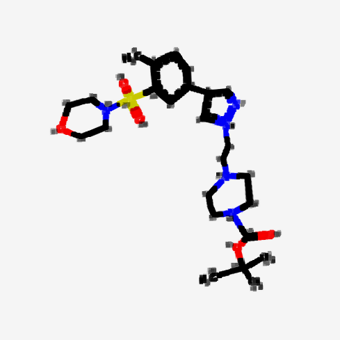 Cc1ccc(-c2cnn(CCN3CCN(C(=O)OC(C)(C)C)CC3)c2)cc1S(=O)(=O)N1CCOCC1